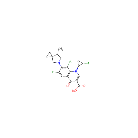 C[C@@H]1CN(c2c(F)cc3c(=O)c(C(=O)O)cn([C@H]4C[C@@H]4F)c3c2Cl)CC12CC2